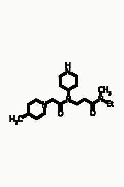 CCN(C)C(=O)CCN(C(=O)CN1CCC(C)CC1)C1CCNCC1